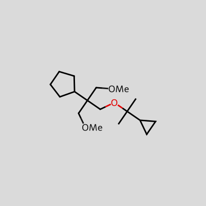 COCC(COC)(COC(C)(C)C1CC1)C1CCCC1